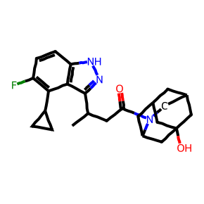 CC(CC(=O)N1CC2CC3CC1CC(O)(C3)C2)c1n[nH]c2ccc(F)c(C3CC3)c12